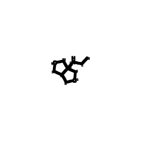 CCNC12COCC1COC2